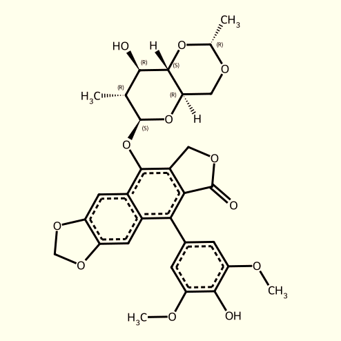 COc1cc(-c2c3c(c(O[C@@H]4O[C@@H]5CO[C@@H](C)O[C@H]5[C@H](O)[C@H]4C)c4cc5c(cc24)OCO5)COC3=O)cc(OC)c1O